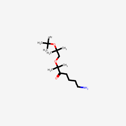 CCCC(C)(C)OC(C)(C)COC(C)(C)C(=O)CCCCN